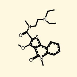 CCN(CC)CCN(C)C(=O)c1sc2c(c1OC)c(=O)n(C)c1ccccc21